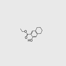 CCOC(=O)c1cc2c(cc1O)CCCC2